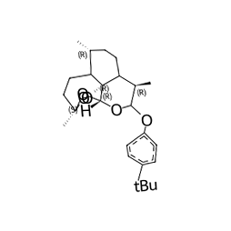 C[C@H]1C(Oc2ccc(C(C)(C)C)cc2)O[C@@H]2O[C@]3(C)CCC4[C@H](C)CCC1[C@]42OO3